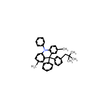 Cc1ccc2c(c1)C(c1ccccc1)(c1cccc(CC(C)(C)C)c1)c1cc(C)ccc1N2c1ccccc1